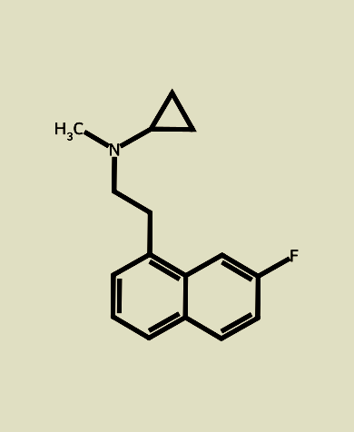 CN(CCc1cccc2ccc(F)cc12)C1CC1